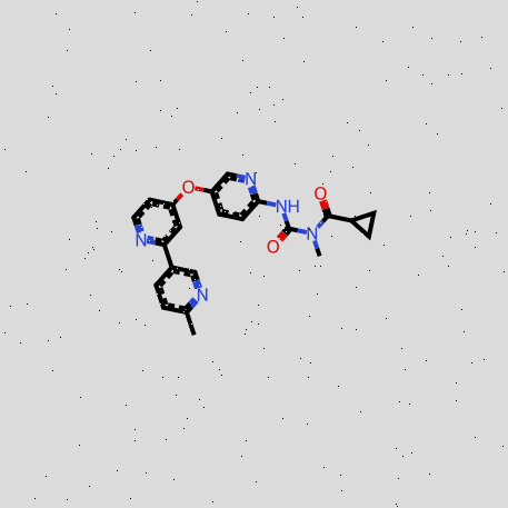 Cc1ccc(-c2cc(Oc3ccc(NC(=O)N(C)C(=O)C4CC4)nc3)ccn2)cn1